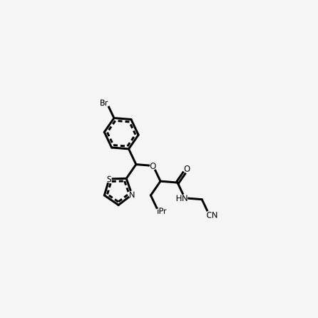 CC(C)CC(OC(c1ccc(Br)cc1)c1nccs1)C(=O)NCC#N